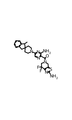 CC1c2ccccc2CC12CCN(c1cnc(C(=O)N3Cc4sc(N)nc4C(F)(F)C3)c(N)n1)CC2